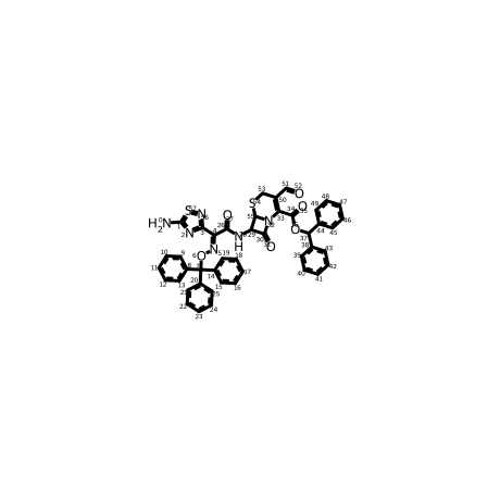 Nc1nc(C(=NOC(c2ccccc2)(c2ccccc2)c2ccccc2)C(=O)NC2C(=O)N3C(C(=O)OC(c4ccccc4)c4ccccc4)=C(C=O)CSC23)ns1